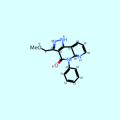 COCc1n[nH]c2c1c(=O)n(-c1ccccc1)c1ncccc21